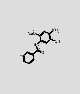 COc1cc(C)c(O)cc1NC(=O)c1ccccc1